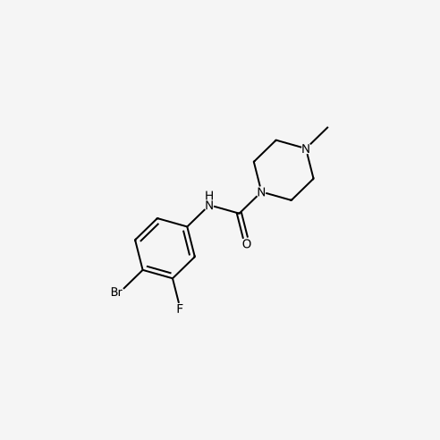 CN1CCN(C(=O)Nc2ccc(Br)c(F)c2)CC1